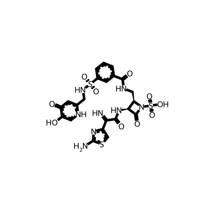 N=C(C(=O)N[C@@H]1C(=O)N(S(=O)(=O)O)[C@@H]1CNC(=O)c1cccc(S(=O)(=O)NCc2cc(=O)c(O)c[nH]2)c1)c1csc(N)n1